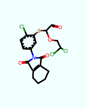 O=CC(OCC(Cl)Cl)Sc1cc(N2C(=O)C3=C(CCCC3)C2=O)ccc1Cl